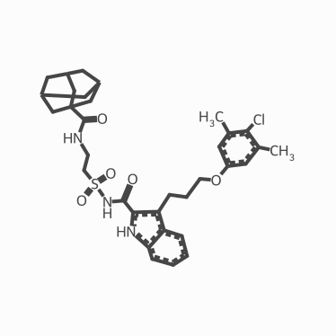 Cc1cc(OCCCc2c(C(=O)NS(=O)(=O)CCNC(=O)C34CC5CC(CC(C5)C3)C4)[nH]c3ccccc23)cc(C)c1Cl